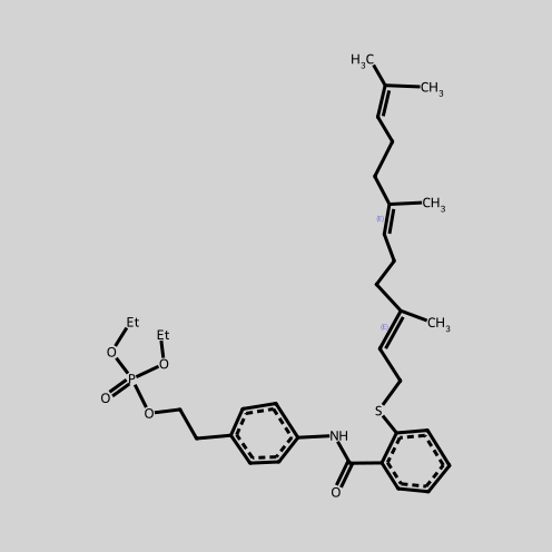 CCOP(=O)(OCC)OCCc1ccc(NC(=O)c2ccccc2SC/C=C(\C)CC/C=C(\C)CCC=C(C)C)cc1